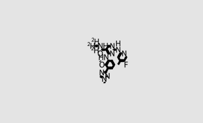 [2H]C([2H])([2H])NC(=O)c1cnc(Nc2cc(C)c(F)cn2)nc1Nc1cccc(-c2ncn(C)n2)c1OC